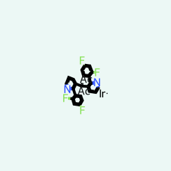 CC(=O)C(C(C)=O)(c1cccnc1-c1ccc(F)cc1F)c1cccnc1-c1ccc(F)cc1F.[Ir]